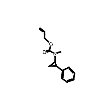 C=CCOC(=O)N(C)C1CC1c1ccccc1